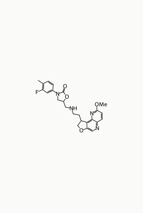 COc1ccc2ncc3c(c2n1)C(CCNCC1CN(c2ccc(C)c(F)c2)C(=O)O1)CO3